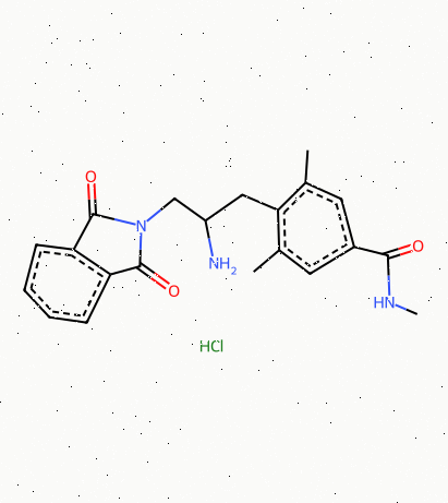 CNC(=O)c1cc(C)c(CC(N)CN2C(=O)c3ccccc3C2=O)c(C)c1.Cl